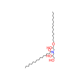 CCCCCCCCCCCCCCCCOCC(O)CN(CC(O)CO)C(=O)CCCCCCCCCCCCCCC